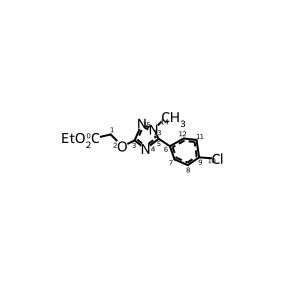 CCOC(=O)COc1nc(-c2ccc(Cl)cc2)n(C)n1